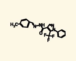 Cc1ccc(C=NNC(=O)c2cnn(-c3ccccc3)c2C(F)(F)F)cc1